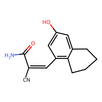 N#C/C(=C/c1cc(O)cc2c1CCCC2)C(N)=O